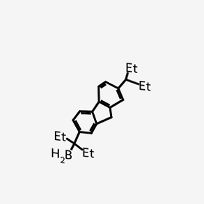 BC(CC)(CC)c1ccc2c(c1)Cc1cc(C(CC)CC)ccc1-2